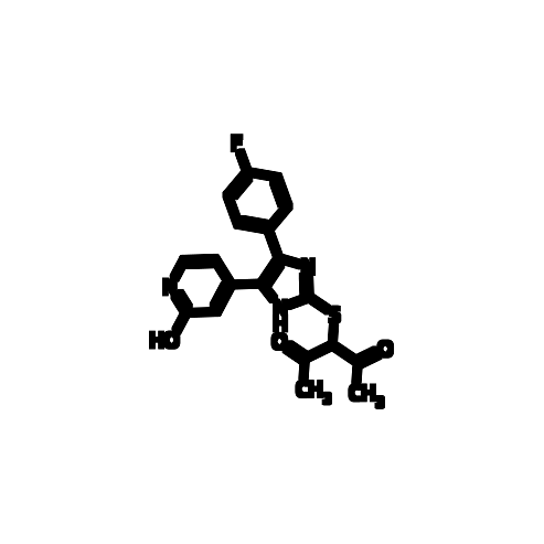 CC(=O)C(Sc1nc(-c2ccc(F)cc2)c(-c2ccnc(O)c2)[nH]1)C(C)=O